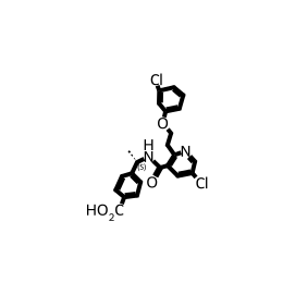 C[C@H](NC(=O)c1cc(Cl)cnc1CCOc1cccc(Cl)c1)c1ccc(C(=O)O)cc1